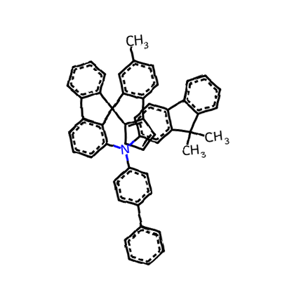 Cc1ccc2c(c1)C1(C3=C2C=CC3)c2ccccc2-c2cccc(N(c3ccc(-c4ccccc4)cc3)c3ccc4c(c3)C(C)(C)c3ccccc3-4)c21